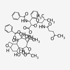 CC(=O)CCC(=O)N[C@H](C(=O)O[C@@H](C(=O)O[C@H]1C[C@@]2(O)[C@@H](OC(=O)c3ccccc3)C3[C@]4(O)CO[C@@H]4C[C@H](O)[C@@]3(C)C(=O)[C@H](OC(C)=O)C(=C1C)C2(C)C)[C@@H](NC(=O)c1ccccc1)c1ccccc1)C(C)C